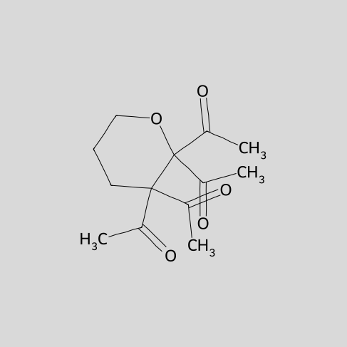 CC(=O)C1(C(C)=O)CCCOC1(C(C)=O)C(C)=O